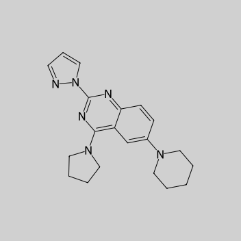 c1cnn(-c2nc(N3CCCC3)c3cc(N4CCCCC4)ccc3n2)c1